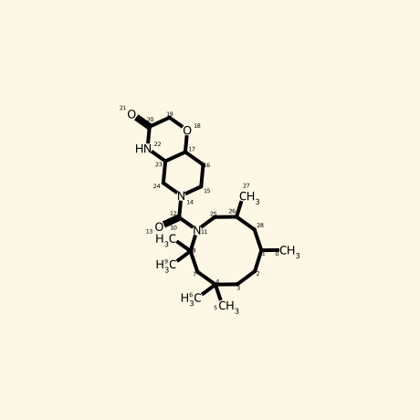 CC1CCC(C)(C)CC(C)(C)N(C(=O)N2CCC3OCC(=O)NC3C2)CC(C)C1